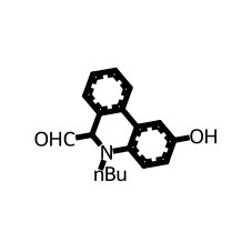 CCCCN1c2ccc(O)cc2-c2ccccc2C1C=O